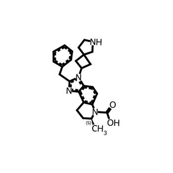 C[C@H]1CCc2c(ccc3c2nc(Cc2ccccc2)n3C2CC3(CCNC3)C2)N1C(=O)O